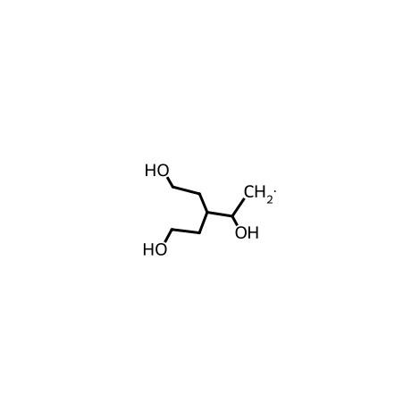 [CH2]C(O)C(CCO)CCO